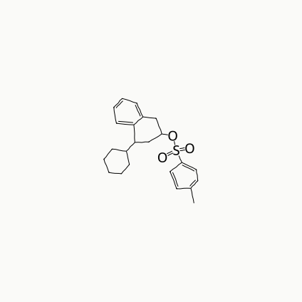 Cc1ccc(S(=O)(=O)OC2Cc3ccccc3C(C3CCCCC3)C2)cc1